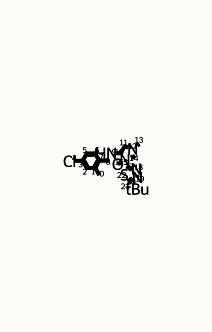 Cc1cc(Cl)ccc1CNC1CN(C)C[N+]1([O-])c1nnc(C(C)(C)C)s1